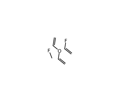 C=CF.C=COC=C.CF